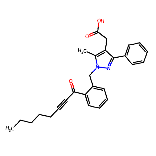 CCCCCC#CC(=O)c1ccccc1Cn1nc(-c2ccccc2)c(CC(=O)O)c1C